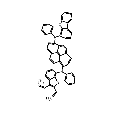 C=Cc1oc2c(N(c3ccccc3)c3ccc4ccc5c(N(c6ccccc6)c6cccc7c6oc6ccccc67)ccc6ccc3c4c65)cccc2c1/C=C\C